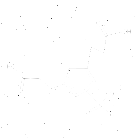 O=C(O)CCc1cc(CCC(=O)O)cc(S(=O)(=O)O)c1